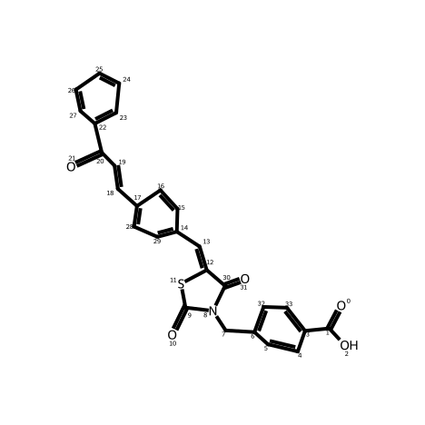 O=C(O)c1ccc(CN2C(=O)S/C(=C\c3ccc(/C=C/C(=O)c4ccccc4)cc3)C2=O)cc1